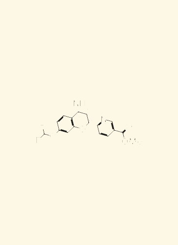 COC(=O)c1ccc([C@H]2C[C@@H](N)c3ccc(OC(F)F)cc3O2)nc1